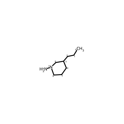 CCCC1CCCN(N)C1